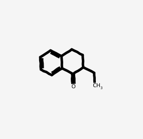 CCC1CCc2ccccc2C1=O